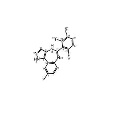 Cc1ccc2c(c1)-c1[nH]ncc1NC(c1c(F)ccc(F)c1F)=N2